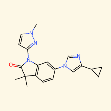 Cn1ccc(N2C(=O)C(C)(C)c3ccc(-n4cnc(C5CC5)c4)cc32)n1